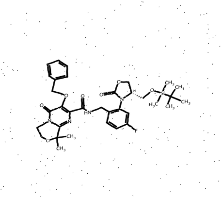 CC1(C)OCCn2c1nc(C(=O)NCc1ccc(F)cc1N1C(=O)OC[C@@H]1CO[Si](C)(C)C(C)(C)C)c(OCc1ccccc1)c2=O